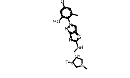 COc1cc(C)c(-n2cc3sc(NC[C@@H]4CN(C)C[C@H]4F)nc3n2)c(O)c1